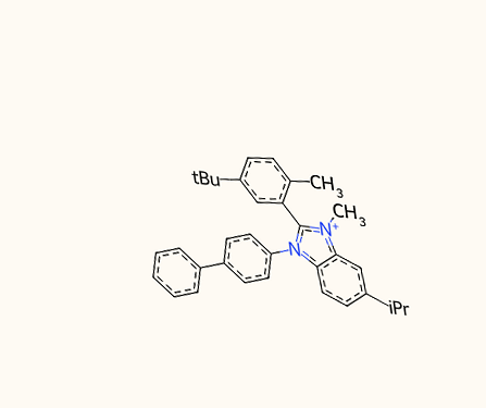 Cc1ccc(C(C)(C)C)cc1-c1n(-c2ccc(-c3ccccc3)cc2)c2ccc(C(C)C)cc2[n+]1C